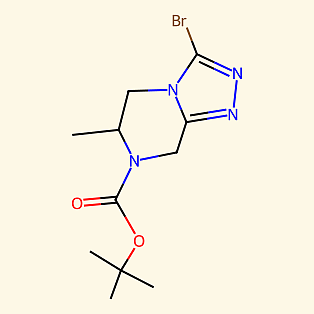 CC1Cn2c(Br)nnc2CN1C(=O)OC(C)(C)C